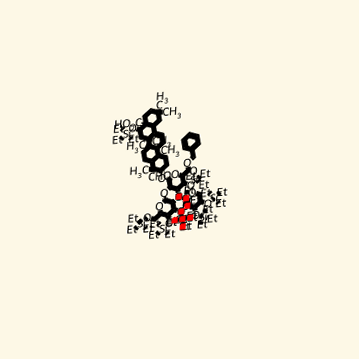 CC[Si](CC)(CC)OCC1O[C@@H](OC2C(OC3=C(O[Si](CC)(CC)CC)C(O[Si](CC)(CC)CC)C(O[Si](CC)(CC)CC)CO3)C(O[Si](CC)(CC)CC)C(C(=O)OCc3ccccc3)O[C@H]2O[C@H]2CCC3(C)C(CCC4(C)C3CC=C3C5CC(C)(C)CC[C@]5(C(=O)O)C(O[Si](CC)(CC)CC)CC34C)C2(C)C=O)C(O[Si](CC)(CC)CC)C(O[Si](CC)(CC)CC)C1O[Si](CC)(CC)CC